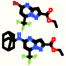 CCOC(=O)c1cc2nc(Br)cc(C(F)(F)F)n2n1.CCOC(=O)c1cc2nc(NC34CC5CC(CC(C5)C3)C4)cc(C(F)(F)F)n2n1